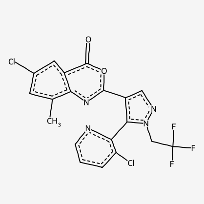 Cc1cc(Cl)cc2c(=O)oc(-c3cnn(CC(F)(F)F)c3-c3ncccc3Cl)nc12